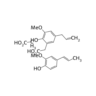 C=CCc1cc(CC(=O)O)c(O)c(OC)c1.CC(=O)O.CC=Cc1ccc(O)c(OC)c1